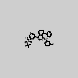 CC(C)(C)NS(=O)(=O)c1cncc(-c2nnc(Nc3cccc(F)c3)c3c(-c4ccccc4)cccc23)c1